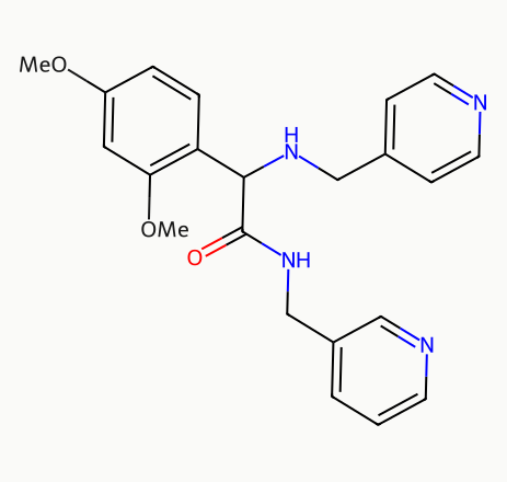 COc1ccc(C(NCc2ccncc2)C(=O)NCc2cccnc2)c(OC)c1